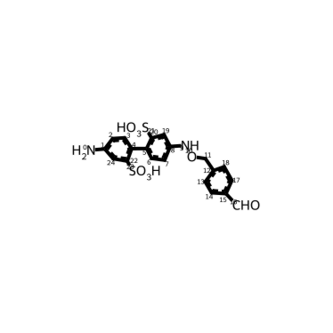 Nc1ccc(-c2ccc(NOCc3ccc(C=O)cc3)cc2S(=O)(=O)O)c(S(=O)(=O)O)c1